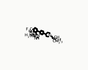 C[N+](C)(C)CCN1CCC(c2ccc(-c3ccc(C(F)(F)F)c(S(N)(=O)=O)c3-c3nnn[nH]3)cc2)CC1